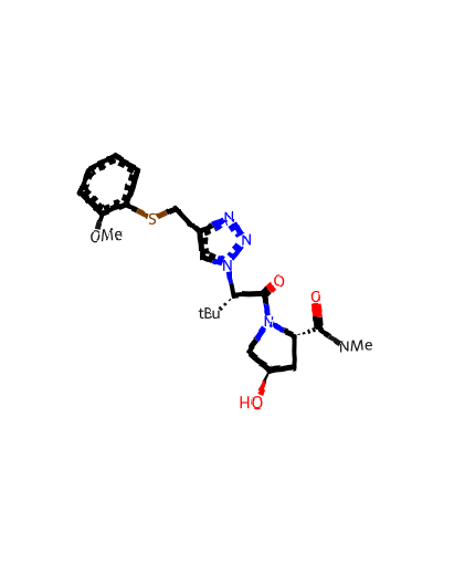 CNC(=O)[C@@H]1C[C@@H](O)CN1C(=O)[C@@H](n1cc(CSc2ccccc2OC)nn1)C(C)(C)C